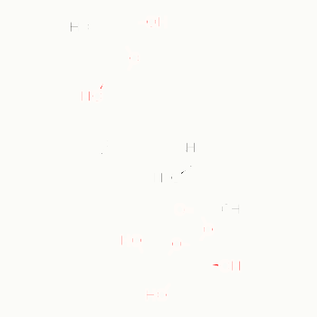 C=C1CC2CCC3[C@](C)(C(=O)OC4OC(CO)C(O)=C[C@@H]4O)CCC[C@@]3(C)[C@@H]2CCC1CCC1OC(CO)C(C)=C[C@@H]1O